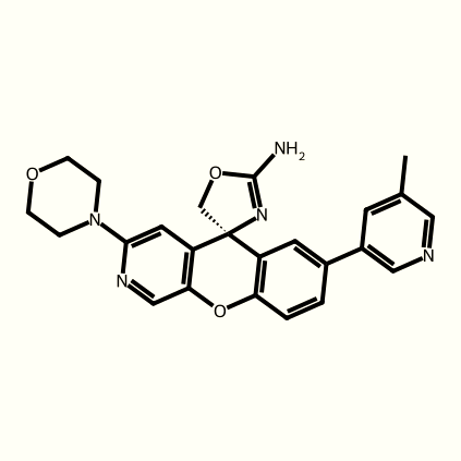 Cc1cncc(-c2ccc3c(c2)[C@@]2(COC(N)=N2)c2cc(N4CCOCC4)ncc2O3)c1